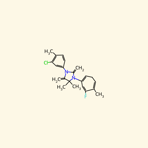 C=C1N(c2ccc(C)c(Cl)c2)C(=C)C(C)(C)N1C1=CCC=C(C)C(F)=C1